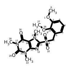 COc1cccc(CS(=O)(=O)c2nc3c(c(=O)n(C)c(=O)n3C)n2C)c1OC